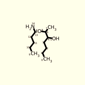 CCCCC(O)C(C)O.CCCCCN